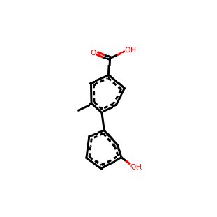 Cc1cc(C(=O)O)ccc1-c1cccc(O)c1